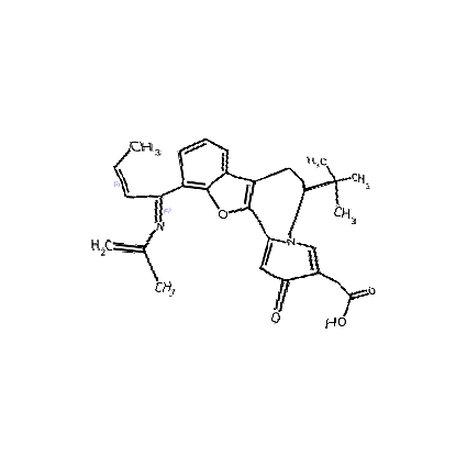 C=C(C)/N=C(\C=C/C)c1cccc2c3c(oc12)-c1cc(=O)c(C(=O)O)cn1C(C(C)(C)C)C3